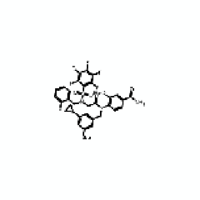 COc1cc(C(N)=O)ccc1N(Cc1cc(C2CC2)cc(C(C)(C)C)c1)C(=O)CN(Cc1ccccc1F)S(=O)(=O)c1c(F)c(F)c(F)c(F)c1F